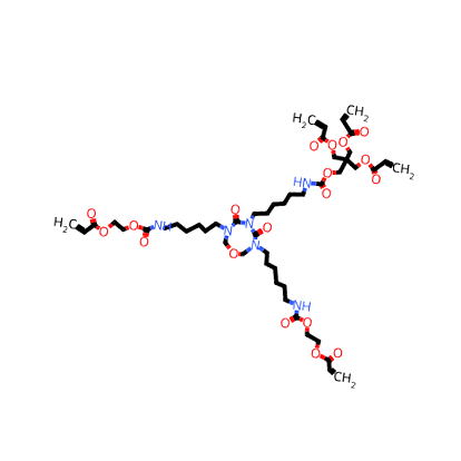 C=CC(=O)OCCOC(=O)NCCCCCCN1COCN(CCCCCCNC(=O)OCCOC(=O)C=C)C(=O)N(CCCCCCNC(=O)OCC(COC(=O)C=C)(COC(=O)C=C)COC(=O)C=C)C1=O